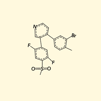 Cc1ccc(-c2ccncc2-c2cc(F)c(S(C)(=O)=O)cc2F)cc1Br